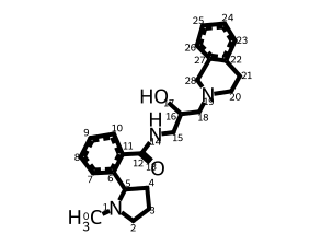 CN1CCCC1c1ccccc1C(=O)NCC(O)CN1CCc2ccccc2C1